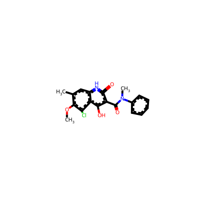 COc1c(C)cc2[nH]c(=O)c(C(=O)N(C)c3ccccc3)c(O)c2c1Cl